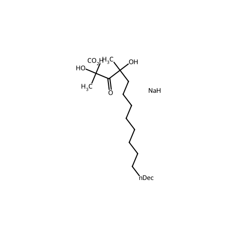 CCCCCCCCCCCCCCCCCCC(C)(O)C(=O)C(C)(O)C(=O)O.[NaH]